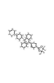 CC1(C)OB(c2ccc(-c3c4ccccc4c(-c4ccc(C5=CC=CCC5)cc4)c4ccccc34)nc2)OC1(C)C